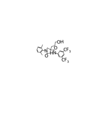 Cc1cccc(C)c1N1CC(CCCO)(C(=O)Nc2cc(C(F)(F)F)cc(C(F)(F)F)c2)CC1=O